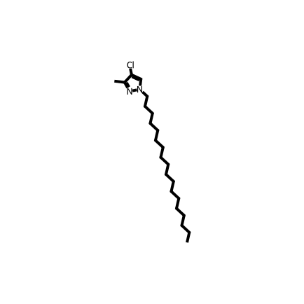 CCCCCCCCCCCCCCCCCCn1cc(Cl)c(C)n1